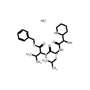 CC(C)C[C@@H](NC(=O)C(O)C1CCCCN1)C(=O)NC(C(=O)OCc1ccccc1)C(C)C.Cl